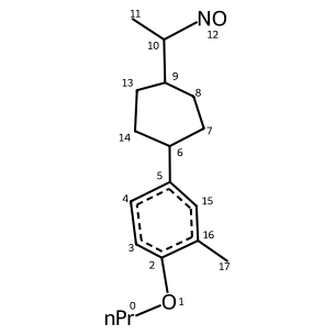 CCCOc1ccc(C2CCC(C(C)N=O)CC2)cc1C